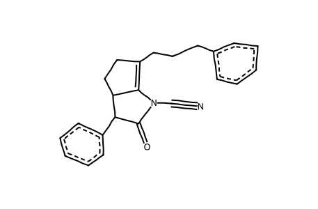 N#CN1C(=O)C(c2ccccc2)C2CCC(CCCc3ccccc3)=C21